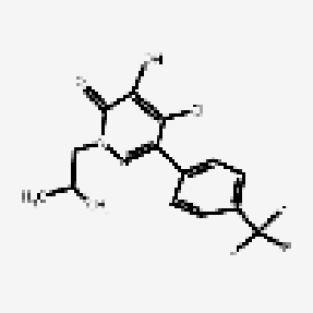 Cc1c(-c2ccc(C(F)(F)F)cc2)nn(CC(C)C)c(=O)c1O